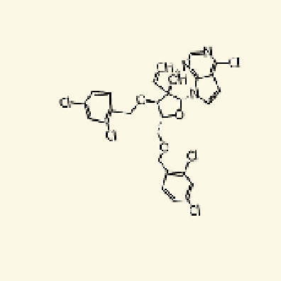 C=C[C@@]1(O)[C@H](OCc2ccc(Cl)cc2Cl)[C@@H](COCc2ccc(Cl)cc2Cl)O[C@H]1n1ccc2c(Cl)ncnc21